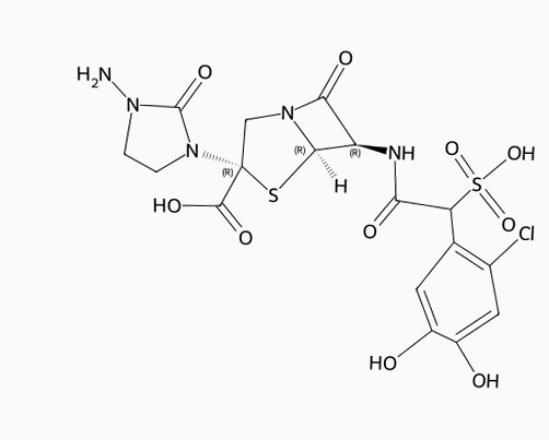 NN1CCN([C@]2(C(=O)O)CN3C(=O)[C@@H](NC(=O)C(c4cc(O)c(O)cc4Cl)S(=O)(=O)O)[C@H]3S2)C1=O